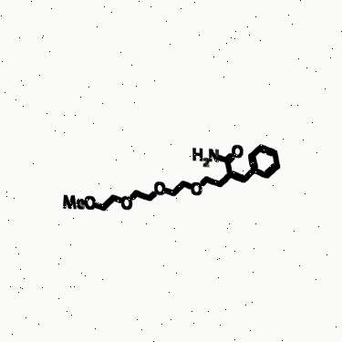 COCCOCCOCCOCCC(=Cc1ccccc1)C(N)=O